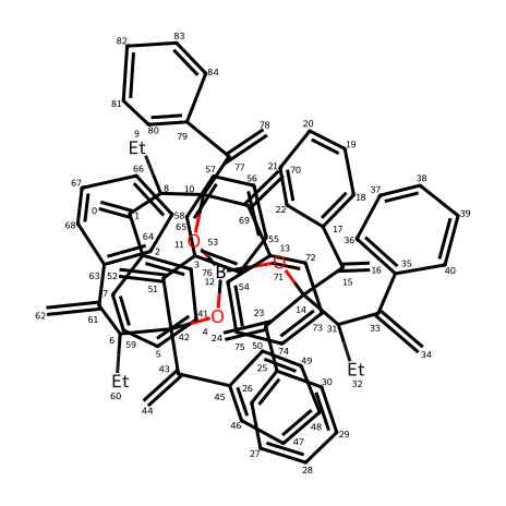 C=C(c1ccccc1)C(CC)C(OB(OC(C(=C)c1ccccc1)(C(=C)c1ccccc1)C(CC)C(=C)c1ccccc1)OC(C(=C)c1ccccc1)(C(=C)c1ccccc1)C(CC)C(=C)c1ccccc1)(C(=C)c1ccccc1)C(=C)c1ccccc1